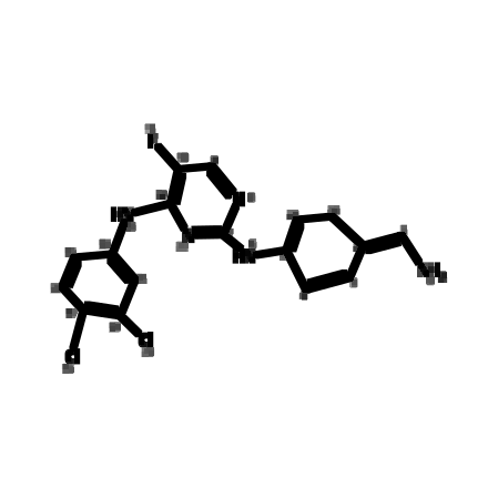 NC=C1C=CC(Nc2ncc(F)c(Nc3ccc(Cl)c(Cl)c3)n2)=CC1